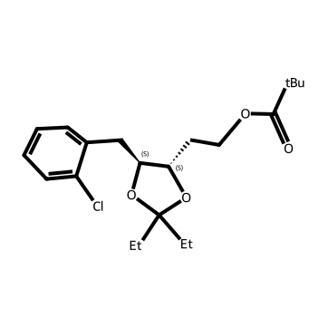 CCC1(CC)O[C@@H](CCOC(=O)C(C)(C)C)[C@H](Cc2ccccc2Cl)O1